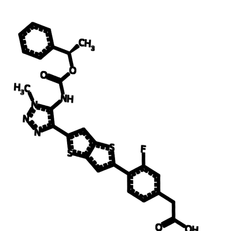 C[C@@H](OC(=O)Nc1c(-c2cc3sc(-c4ccc(CC(=O)O)cc4F)cc3s2)nnn1C)c1ccccc1